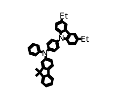 CCc1ccc2c(c1)c1cc(CC)ccc1n2-c1ccc(N(c2ccccc2)c2ccc3c(c2)C(C)(C)c2ccccc2-3)cc1